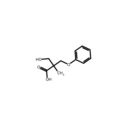 CC(CO)(COc1ccccc1)C(=O)O